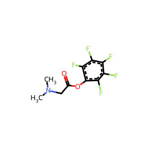 CN(C)CC(=O)Oc1c(F)c(F)c(F)c(F)c1F